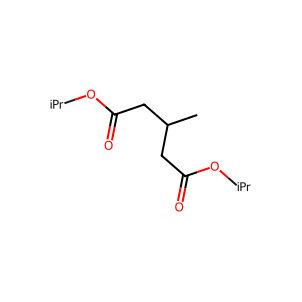 CC(CC(=O)OC(C)C)CC(=O)OC(C)C